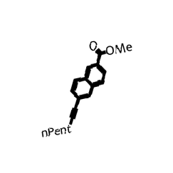 CCCCCC#Cc1ccc2cc(C(=O)OC)ccc2c1